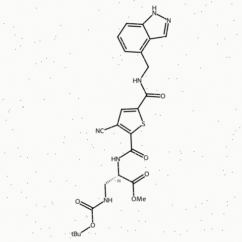 COC(=O)[C@H](CNC(=O)OC(C)(C)C)NC(=O)c1sc(C(=O)NCc2cccc3[nH]ncc23)cc1C#N